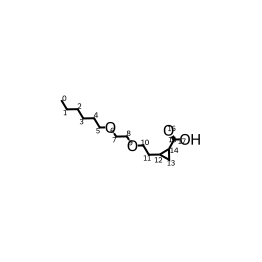 CCCCCCOCCOCCC1CC1C(=O)O